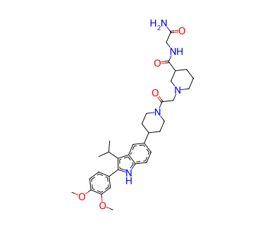 COc1ccc(-c2[nH]c3ccc(C4CCN(C(=O)CN5CCCC(C(=O)NCC(N)=O)C5)CC4)cc3c2C(C)C)cc1OC